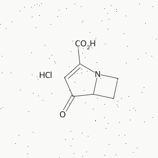 Cl.O=C(O)C1=CC(=O)C2CCN12